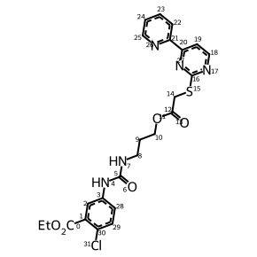 CCOC(=O)c1cc(NC(=O)NCCCOC(=O)CSc2nccc(-c3ccccn3)n2)ccc1Cl